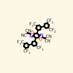 N#CC(C#N)=c1nc2c(-c3cc(-c4cc(C(F)(F)F)cc(C(F)(F)F)c4)cc(C(F)(F)F)c3)c3oc(=C(C#N)C#N)nc3c(-c3cc(-c4cc(C(F)(F)F)cc(C(F)(F)F)c4)cc(C(F)(F)F)c3)c2o1